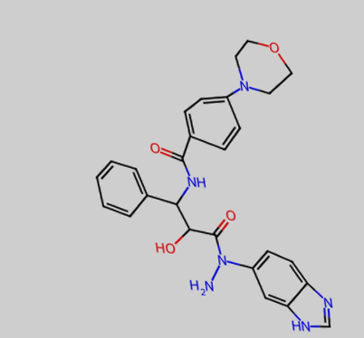 NN(C(=O)C(O)C(NC(=O)c1ccc(N2CCOCC2)cc1)c1ccccc1)c1ccc2nc[nH]c2c1